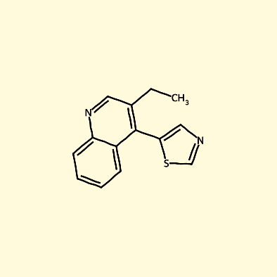 CCc1cnc2ccccc2c1-c1cncs1